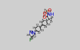 CS(=O)(=O)NC(=O)C1(c2ccc(-c3ccc(-n4[c]c(F)cn4)cc3)cc2)CC1